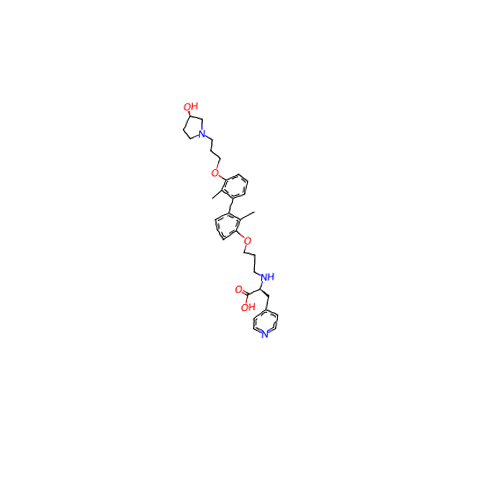 Cc1c(OCCCN[C@@H](Cc2ccncc2)C(=O)O)cccc1-c1cccc(OCCCN2CC[C@@H](O)C2)c1C